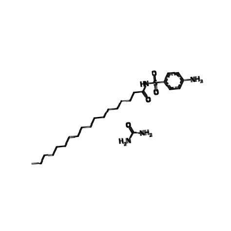 CCCCCCCCCCCCCCCCCC(=O)NS(=O)(=O)c1ccc(N)cc1.NC(N)=O